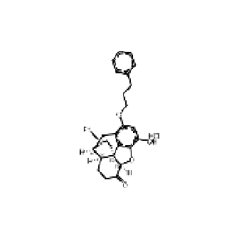 CCN1CC[C@]23c4c5c(OCCCc6ccccc6)cc(O)c4O[C@H]2C(=O)CC[C@H]3[C@H]1C5.Cl